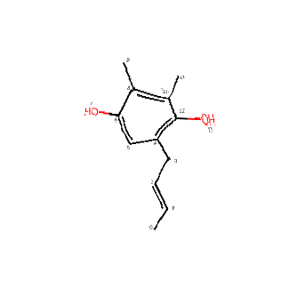 CC=CCc1cc(O)c(C)c(C)c1O